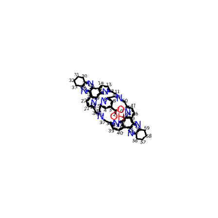 O=C(O)c1cc2nc(c1)CN1Cc3ccc4c(n3)c3nc(ccc3c3nc5c(nc43)CCCC5)CN(C2)Cc2ccc3c(n2)c2nc(ccc2c2nc4c(nc32)CCCC4)C1